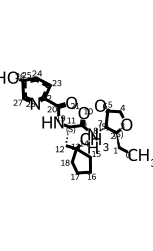 CC[C@@H]1OCC(=O)[C@H]1NC(=O)[C@H](CC1(C)CCCC1)NC(=O)c1ccc(O)cn1